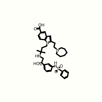 CC(C)(CCn1c(CCN2CCCCCC2)cc2cc(C(=O)O)ccc21)NC[C@H](O)c1cccc(NS(=O)(=O)c2ccccc2)c1